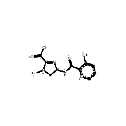 Cc1cccnc1C(=O)NC1CN(C)C(C(=O)O)=N1